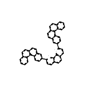 c1ccc2c(c1)ccc1ccc3cc(-c4ccc5ccc6ccc(-c7ccc8c(ccc9ccc%10ccccc%10c98)c7)nc6c5n4)ccc3c12